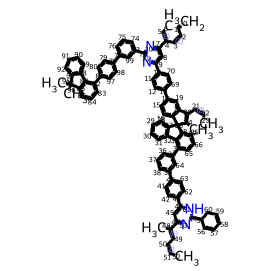 C=C/C=C\C(=C/C)c1cc(-c2ccc(-c3ccc4c(c3)C(/C=C\C)=C(C)C43c4ccccc4-c4c(-c5cccc(-c6ccc(C7=CC(/C(C)=C/C=C\C)=NC(C8C=CC=CC8)N7)cc6)c5)cccc43)cc2)nc(-c2cccc(-c3ccc(-c4cccc5c4-c4ccccc4C5(C)C)cc3)c2)n1